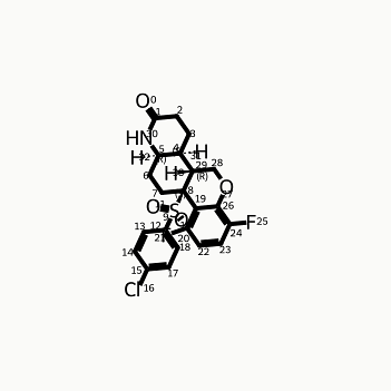 O=C1CC[C@@H]2[C@@H](CC[C@@]3(S(=O)(=O)c4ccc(Cl)cc4)c4c(F)ccc(F)c4OC[C@@H]23)N1